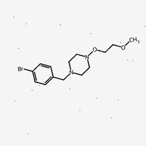 COCCON1CCN(Cc2ccc(Br)cc2)CC1